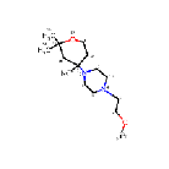 CC(C)OCCN1CCN(C2(C#N)CCOC(C)(C)C2)CC1